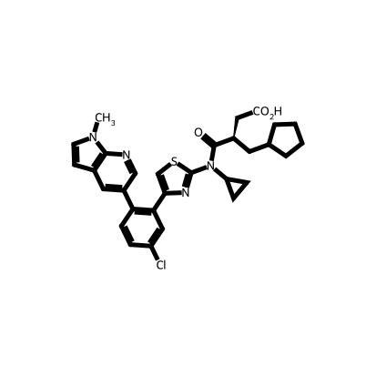 Cn1ccc2cc(-c3ccc(Cl)cc3-c3csc(N(C(=O)[C@@H](CC(=O)O)CC4CCCC4)C4CC4)n3)cnc21